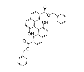 O=C(OCc1ccccc1)c1ccc2ccc(O)c(-c3c(O)ccc4ccc(C(=O)OCc5ccccc5)cc34)c2c1